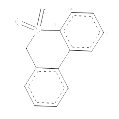 C=S1(=O)Cc2ccccc2-c2ccccc21